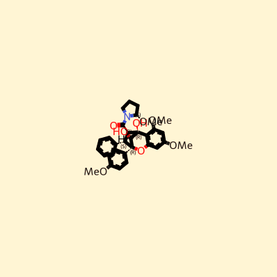 COc1ccc([C@]23Oc4cc(OC)cc(OC)c4[C@](O)([C@H](C(=O)N4CCC[C@@H]4OC)[C@H]2c2ccccc2)[C@@H]3O)cc1